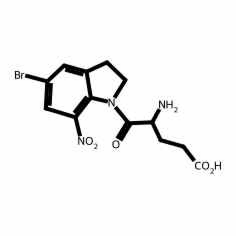 NC(CCC(=O)O)C(=O)N1CCc2cc(Br)cc([N+](=O)[O-])c21